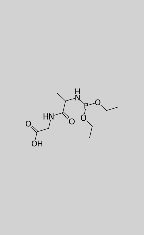 CCOP(NC(C)C(=O)NCC(=O)O)OCC